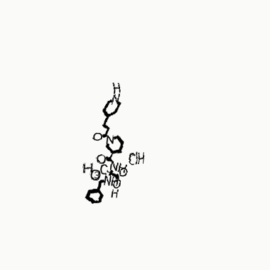 C[C@](NC(=O)c1ccccc1)(NC(=O)[C@@H]1CCCN(C(=O)CCC2CCNCC2)C1)C(=O)O.Cl